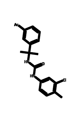 CC(=O)c1cccc(C(C)(C)NC(=O)Nc2ccc(C)c(Cl)c2)c1